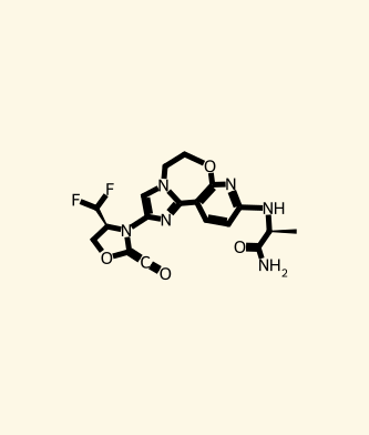 C[C@H](Nc1ccc2c(n1)OCCn1cc(N3C(=C=O)OC[C@H]3C(F)F)nc1-2)C(N)=O